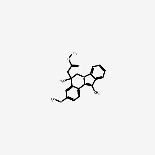 COC(=O)CC1(C)Cn2c(c(C)c3ccccc32)-c2ccc(OC)cc21